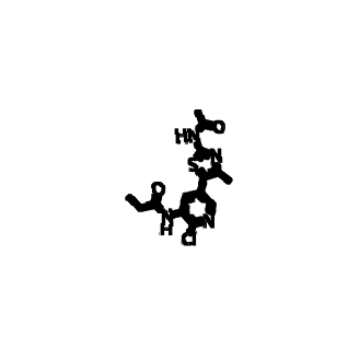 CCC(=O)Nc1cc(-c2sc(NC(C)=O)nc2C)cnc1Cl